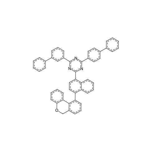 c1ccc(-c2ccc(-c3nc(-c4cccc(-c5ccccc5)c4)nc(-c4ccc(-c5cccc6c5-c5ccccc5OC6)c5ccccc45)n3)cc2)cc1